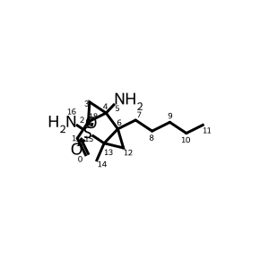 C=CC1CC1(N)C1(CCCCC)CC1(C)S(N)(=O)=O